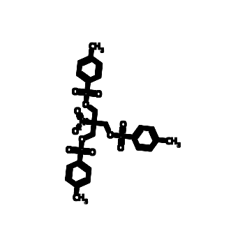 Cc1ccc(S(=O)(=O)OCC(COS(=O)(=O)c2ccc(C)cc2)(COS(=O)(=O)c2ccc(C)cc2)[N+](=O)[O-])cc1